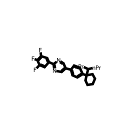 CCCC(CCC)C1(c2ccc(-c3cnc(-c4cc(F)c(F)c(F)c4)nc3)cc2)CCCCC1